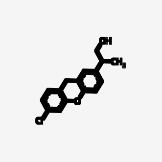 CC(CO)c1ccc2c(c1)Cc1ccc(Cl)cc1O2